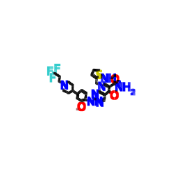 COc1cc(C2CCN(CCC(F)(F)F)CC2)ccc1Nc1ncc2c(=O)c(C(N)=O)c(N)n(Cc3cccs3)c2n1